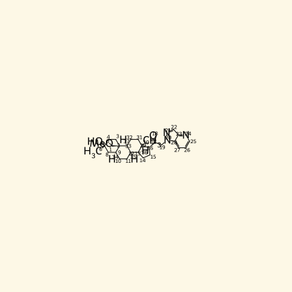 COC[C@]12CC[C@@](C)(O)C[C@@H]1CC[C@H]1[C@@H]3CC[C@H](C(=O)Cn4ncc5ncccc54)[C@@]3(C)CC[C@@H]12